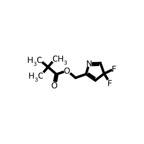 CC(C)(C)C(=O)OCC1=CC(F)(F)C=N1